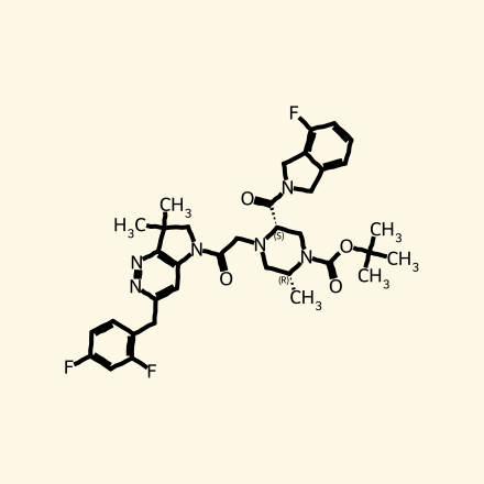 C[C@@H]1CN(CC(=O)N2CC(C)(C)c3nnc(Cc4ccc(F)cc4F)cc32)[C@H](C(=O)N2Cc3cccc(F)c3C2)CN1C(=O)OC(C)(C)C